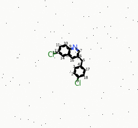 Clc1ccc(Cc2cnc3ccc(Cl)cc3c2)cc1